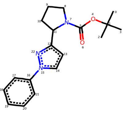 CC(C)(C)OC(=O)N1CCCC1c1ccn(-c2ccccc2)n1